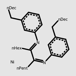 CCCCCCCCCCCc1cccc(N=C(CCCCC)C(CCCCCC)=Nc2cccc(CCCCCCCCCCC)c2)c1.[Ni]